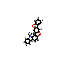 Cn1c2ccccc2c2ccc3oc4cc5c(cc4c3c21)oc1ccccc15